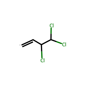 [CH]=CC(Cl)C(Cl)Cl